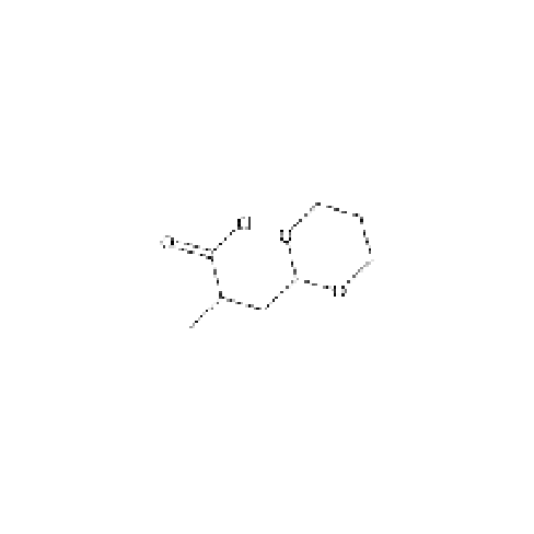 CC(CC1OCCCO1)C(=O)Cl